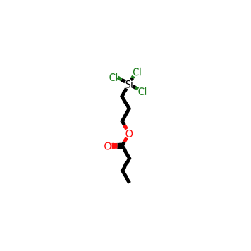 CCCC(=O)OCCC[Si](Cl)(Cl)Cl